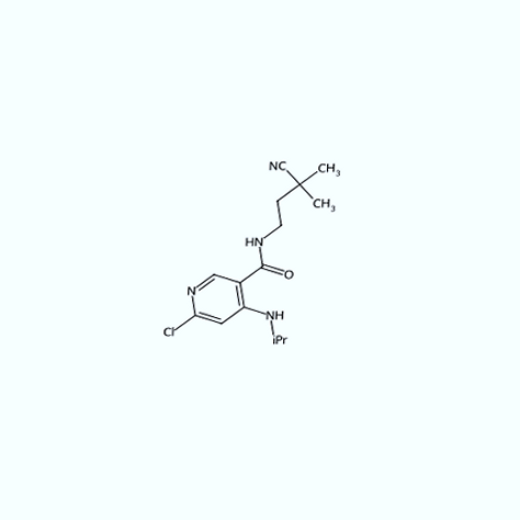 CC(C)Nc1cc(Cl)ncc1C(=O)NCCC(C)(C)C#N